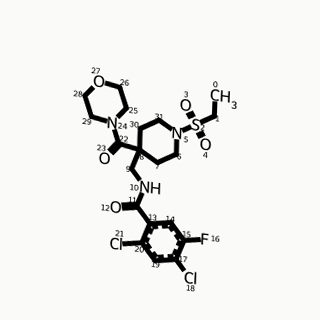 CCS(=O)(=O)N1CCC(CNC(=O)c2cc(F)c(Cl)cc2Cl)(C(=O)N2CCOCC2)CC1